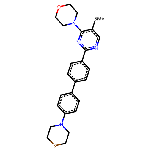 CSc1cnc(-c2ccc(-c3c[c]c(N4CCSCC4)cc3)cc2)nc1N1CCOCC1